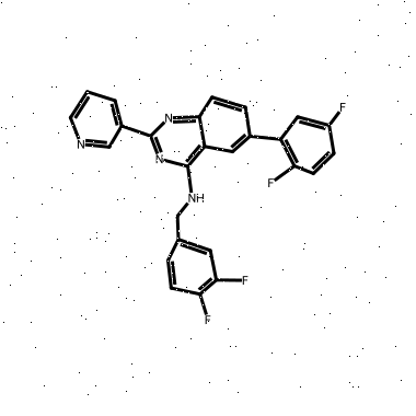 Fc1ccc(F)c(-c2ccc3nc(-c4cccnc4)nc(NCc4ccc(F)c(F)c4)c3c2)c1